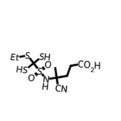 CCSC(S)(S)S(=O)(=O)NC(C)(C#N)CCC(=O)O